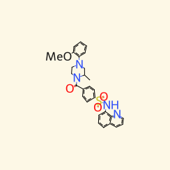 COc1ccccc1N1CCN(C(=O)c2ccc(S(=O)(=O)Nc3cccc4cccnc34)cc2)C(C)C1